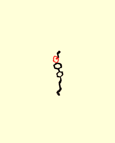 C=CCOC1CCC(C2CCC(C=CCCC)CC2)CC1